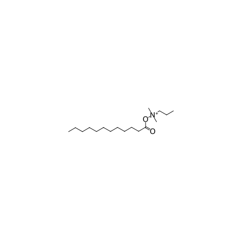 CCCCCCCCCCCC(=O)O[N+](C)(C)CCC